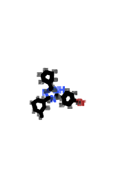 CC1C=CC=C(C2=N[C@@H](c3ccc(Br)cc3)NC(c3ccccc3)=N2)C1